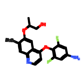 COc1cc2nccc(Oc3c(F)cc(N)cc3F)c2cc1OC(C)CO